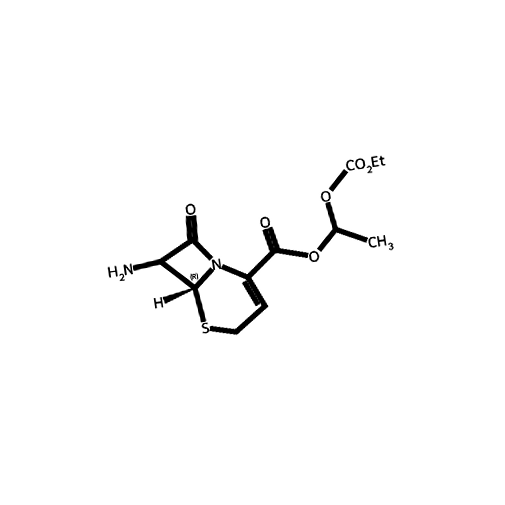 CCOC(=O)OC(C)OC(=O)C1=CCS[C@@H]2C(N)C(=O)N12